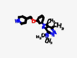 Cc1nnc(N(C)C)c2nn(-c3cccc(OCC4CCNCC4)c3)c(C)c12